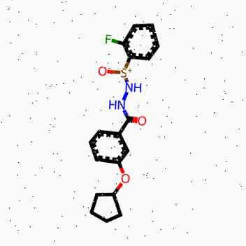 O=C(NN[S+]([O-])c1ccccc1F)c1cccc(OC2CCCC2)c1